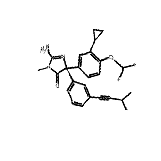 CC(C)C#Cc1cccc([C@]2(c3ccc(OC(F)F)c(C4CC4)c3)N=C(N)N(C)C2=O)c1